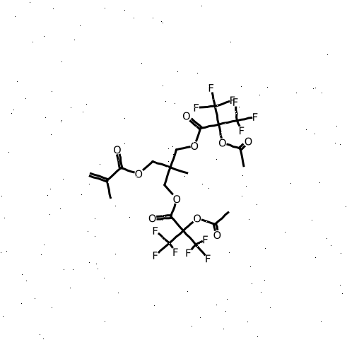 C=C(C)C(=O)OCC(C)(COC(=O)C(OC(C)=O)(C(F)(F)F)C(F)(F)F)COC(=O)C(OC(C)=O)(C(F)(F)F)C(F)(F)F